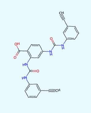 C#Cc1cccc(NC(=O)Nc2ccc(C(=O)O)c(NC(=O)Nc3cccc(C#C)c3)c2)c1